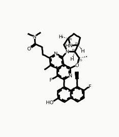 C#Cc1c(F)ccc2cc(O)cc(-c3nc4c5c(nc(CCC(=O)N(C)C)c(C)c5c3F)N3C[C@H]5CC[C@H](N5)[C@H]3[C@H](C)O4)c12